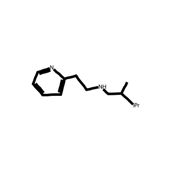 CC(C)C(C)CNCCc1ccccn1